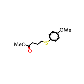 COC(=O)CCCSc1ccc(OC)cc1